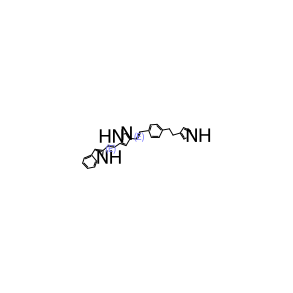 C(=C\c1cc(/C=C/c2cc3ccccc3[nH]2)[nH]n1)/c1ccc(CCc2cc[nH]c2)cc1